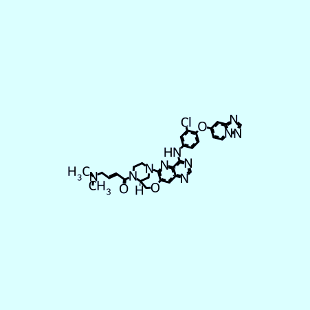 CN(C)C/C=C/C(=O)N1CCN2C[C@H]1COc1cc3ncnc(Nc4ccc(Oc5ccn6ncnc6c5)c(Cl)c4)c3nc12